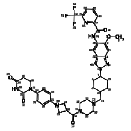 COc1cc2nn(C3CCC(CN4CCN(C(=O)C5CN(c6ccc(N7CCC(=O)NC7=O)cc6)C5)CC4)CC3)cc2cc1NC(=O)c1cccc(C(F)(F)F)n1